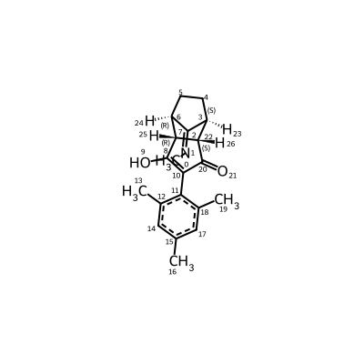 CN=C1[C@H]2CC[C@@H]1[C@H]1C(O)=C(c3c(C)cc(C)cc3C)C(=O)[C@H]12